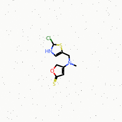 CN(CC1=CNC(Cl)S1)C1=CC(=S)OC1